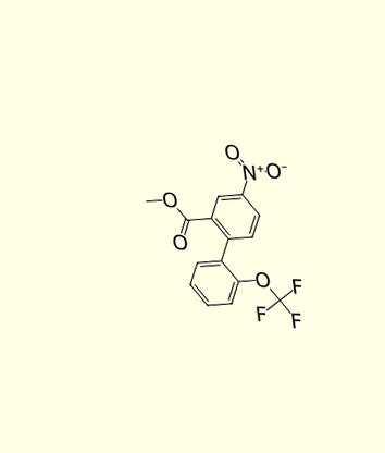 COC(=O)c1cc([N+](=O)[O-])ccc1-c1ccccc1OC(F)(F)F